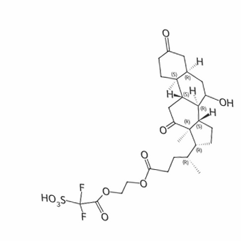 C[C@H](CCC(=O)OCCOC(=O)C(F)(F)S(=O)(=O)O)[C@H]1CC[C@H]2[C@@H]3C(O)C[C@@H]4CC(=O)CC[C@]4(C)[C@H]3CC(=O)[C@]12C